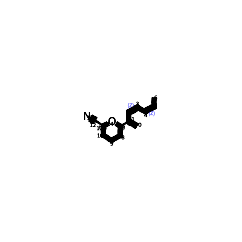 C=C(/C=C\C=C/C)[C@H]1CCC[C@@H](C#N)O1